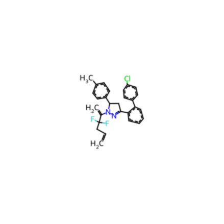 C=CCC(F)(F)C(=C)N1N=C(c2ccccc2-c2ccc(Cl)cc2)CC1c1ccc(C)cc1